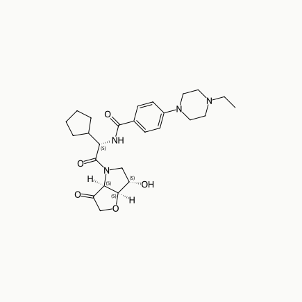 CCN1CCN(c2ccc(C(=O)N[C@H](C(=O)N3C[C@H](O)[C@H]4OCC(=O)[C@H]43)C3CCCC3)cc2)CC1